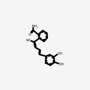 N#C/C(=C/C=C/c1ccc(O)c(O)c1)c1ccccc1C(N)=O